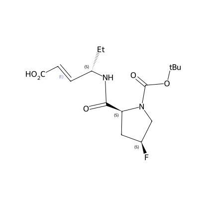 CC[C@@H](/C=C/C(=O)O)NC(=O)[C@@H]1C[C@H](F)CN1C(=O)OC(C)(C)C